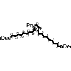 CCCCCCCCCCCCCCCCCCC[n+]1ccn(C(C)C)c1CCCCCCCCCCCCCCCCCC